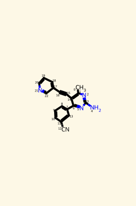 Cc1nc(N)nc(-c2cccc(C#N)c2)c1C#Cc1cccnc1